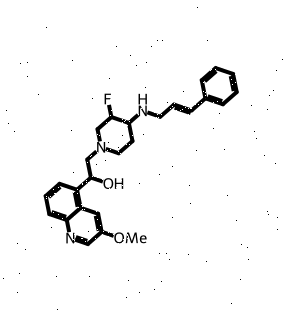 COc1cnc2cccc(C(O)CN3CCC(NCC=Cc4ccccc4)C(F)C3)c2c1